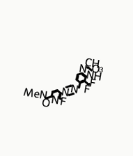 CNC(=O)c1ccc(N2CCN(Cc3ccc4nc(C)c(=O)[nH]c4c3C(F)F)CC2)c(F)n1